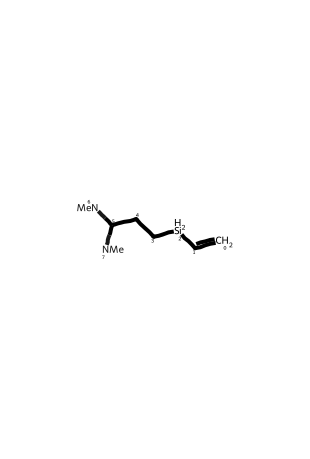 C=C[SiH2]CCC(NC)NC